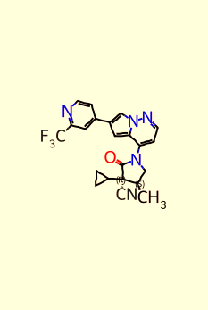 C[C@@H]1CN(c2ccnn3cc(-c4ccnc(C(F)(F)F)c4)cc23)C(=O)[C@]1(C#N)C1CC1